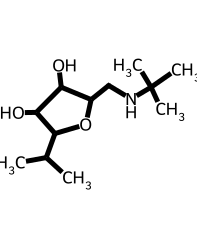 CC(C)C1OC(CNC(C)(C)C)C(O)C1O